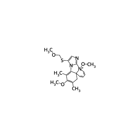 COCSc1cnc2n1C1=C(C)C(OC)=C(C)CC13C=CC=C[N+]23OC